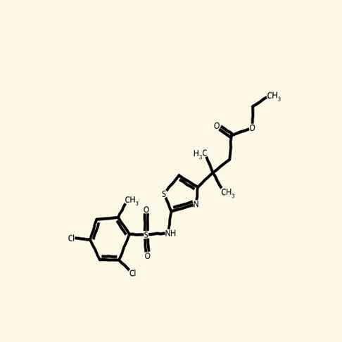 CCOC(=O)CC(C)(C)c1csc(NS(=O)(=O)c2c(C)cc(Cl)cc2Cl)n1